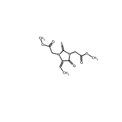 C/C=C1\C(=O)N(CC(=O)OC)C(=S)N1CC(=O)OC